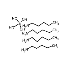 CCCCCN.CCCCCN.CCCCCN.CCCCCN.O[Si](O)(O)O